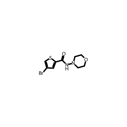 O=C(NN1CCOCC1)c1cc(Br)cs1